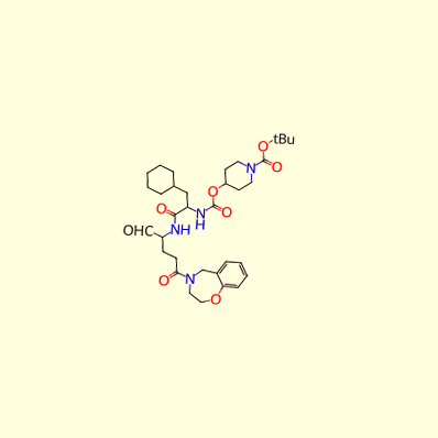 CC(C)(C)OC(=O)N1CCC(OC(=O)NC(CC2CCCCC2)C(=O)NC(C=O)CCC(=O)N2CCOc3ccccc3C2)CC1